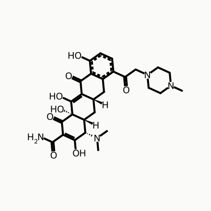 CN1CCN(CC(=O)c2ccc(O)c3c2C[C@@H]2C[C@@H]4[C@H](N(C)C)C(O)=C(C(N)=O)C(=O)[C@@]4(O)C(O)=C2C3=O)CC1